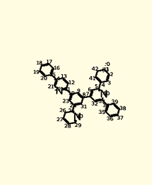 C[C@@H]1C=CC(c2cc(-c3cc(-c4ccc(-c5ccccc5)cn4)cc(C4CC=CC=N4)c3)cc(-c3ccccc3)n2)=CC1